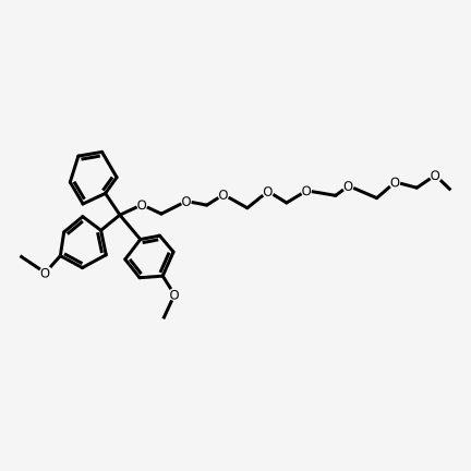 COCOCOCOCOCOCOCOC(c1ccccc1)(c1ccc(OC)cc1)c1ccc(OC)cc1